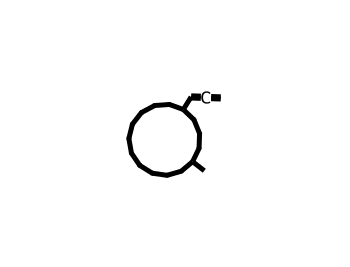 C=C=CC1CCCCCCCCCCC(C)CCC1